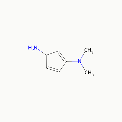 CN(C)C1=CC(N)C=C1